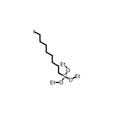 CCO[Si](CCCCCCCCI)(OCC)OCC